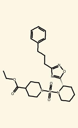 CCOC(=O)C1CCN(S(=O)(=O)N2CCCC[C@H]2c2nc(CCCc3ccccc3)no2)CC1